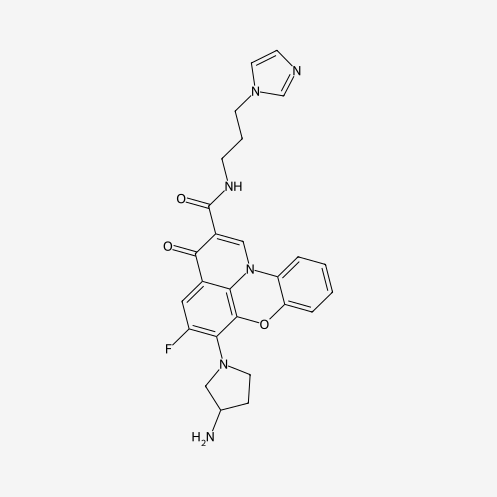 NC1CCN(c2c(F)cc3c(=O)c(C(=O)NCCCn4ccnc4)cn4c3c2Oc2ccccc2-4)C1